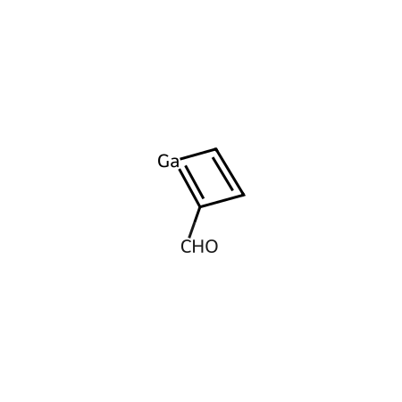 O=C[C]1=[Ga][CH]=C1